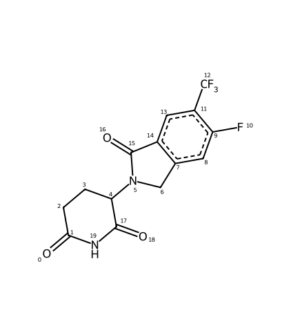 O=C1CCC(N2Cc3cc(F)c(C(F)(F)F)cc3C2=O)C(=O)N1